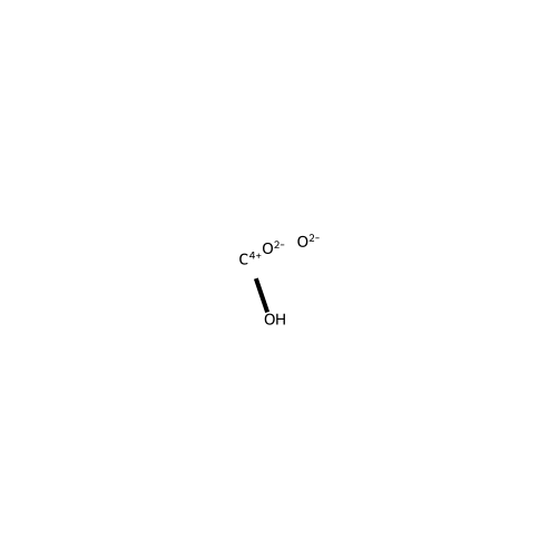 CO.[C+4].[O-2].[O-2]